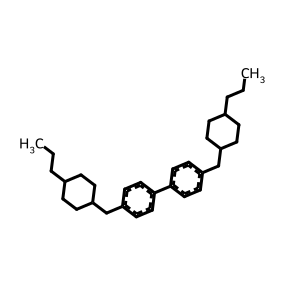 CCCC1CCC(Cc2ccc(-c3ccc(CC4CCC(CCC)CC4)cc3)cc2)CC1